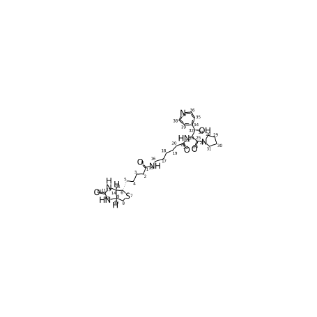 O=C(CCCC[C@@H]1SC[C@@H]2NC(=O)N[C@@H]21)NCCCCCC(=O)N[C@H](C(=O)N1CCCC1)[C@H](O)c1ccncc1